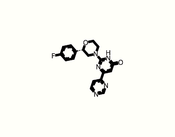 O=c1cc(-c2ccncn2)nc(N2CCO[C@@H](c3ccc(F)cc3)C2)[nH]1